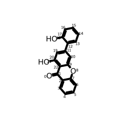 O=c1c2ccccc2oc2cc(-c3ccccc3O)cc(O)c12